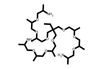 CCC(COCC(C)OCC(C)OCC(C)N)(COCC(C)OCC(C)OCC(C)N)COCC(C)OCC(C)OCC(C)N